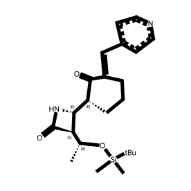 C[C@@H](O[Si](C)(C)C(C)(C)C)[C@H]1C(=O)N[C@@H]1[C@H]1CCCC(=Cc2ccncc2)C1=O